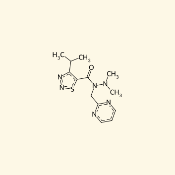 CC(C)c1nnsc1C(=O)N(Cc1ncccn1)N(C)C